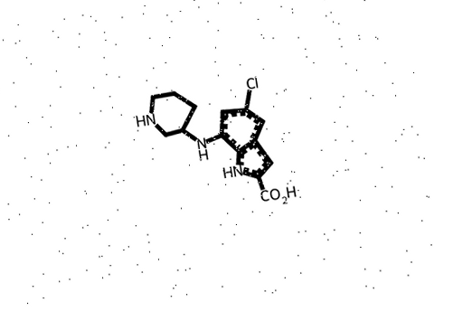 O=C(O)c1cc2cc(Cl)cc(NC3CCCNC3)c2[nH]1